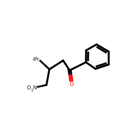 CC(C)C(CC(=O)c1ccccc1)C[N+](=O)[O-]